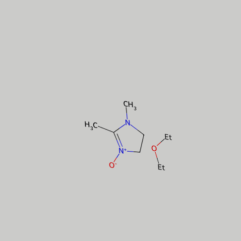 CC1=[N+]([O-])CCN1C.CCOCC